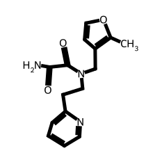 Cc1occc1CN(CCc1ccccn1)C(=O)C(N)=O